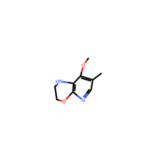 COc1c(C)cnc2c1NCCO2